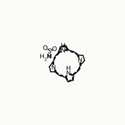 N[SH](=O)=O.c1cc2cc3nc(cc4ccc(cc5nc(cc1[nH]2)CC5)[nH]4)CC3